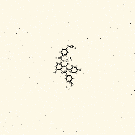 COc1ccc(C(=O)N2c3ccc(F)cc3[C@H](N(C(=O)c3ccc(OC)cc3)c3ccc(F)cc3)C[C@H]2C)cc1